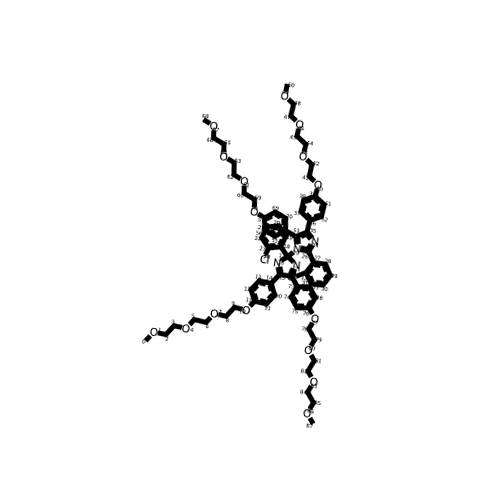 COCCOCCOCCOc1ccc(C2=NC(c3ccccc3Cl)(n3c(-c4ccccc4Cl)nc(-c4ccc(OCCOCCOCCOC)cc4)c3-c3ccc(OCCOCCOCCOC)cc3)N=C2c2ccc(OCCOCCOCCOC)cc2)cc1